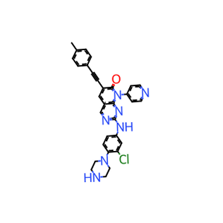 Cc1ccc(C#Cc2cc3cnc(Nc4ccc(N5CCNCC5)c(Cl)c4)nc3n(-c3ccncc3)c2=O)cc1